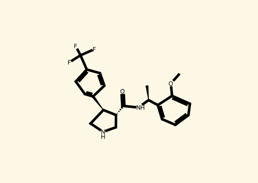 COc1ccccc1[C@H](C)NC(=O)[C@@H]1CNC[C@H]1c1ccc(C(F)(F)F)cc1